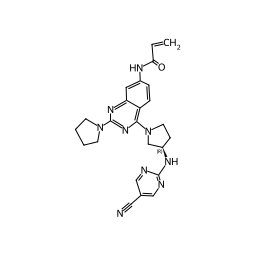 C=CC(=O)Nc1ccc2c(N3CC[C@@H](Nc4ncc(C#N)cn4)C3)nc(N3CCCC3)nc2c1